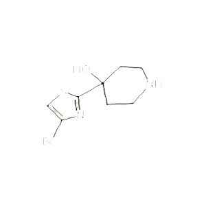 OC1(c2nc(Br)cs2)CCNCC1